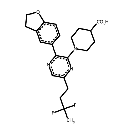 CC(F)(F)CCc1cnc(-c2ccc3c(c2)CCO3)c(N2CCC(C(=O)O)CC2)n1